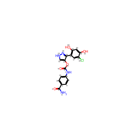 NC(=O)c1ccc(NC(=O)Oc2c[nH]nc2-c2cc(Cl)c(O)cc2O)cc1